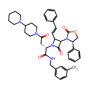 O=C(NCc1cccc(C(F)(F)F)c1)[C@H](CC(=O)N1CCC(N2CCCCC2)CC1)N1C(=O)C(N2C(=O)OC[C@H]2c2ccccc2)C1C=Cc1ccccc1